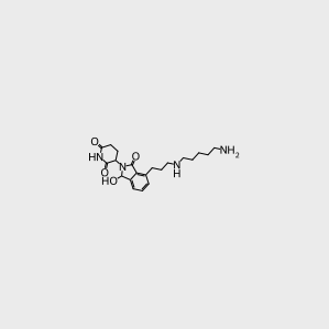 NCCCCCNCCCc1cccc2c1C(=O)N(C1CCC(=O)NC1=O)C2O